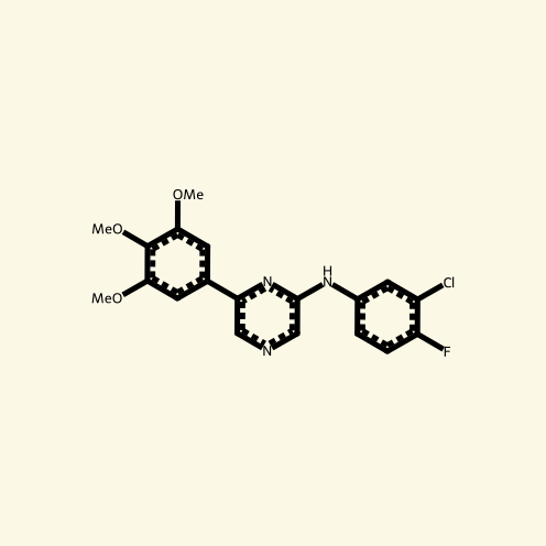 COc1cc(-c2cncc(Nc3ccc(F)c(Cl)c3)n2)cc(OC)c1OC